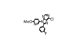 COc1ccc(-n2c(-c3cccc(F)c3)nc3c(Cl)ncnc32)cn1